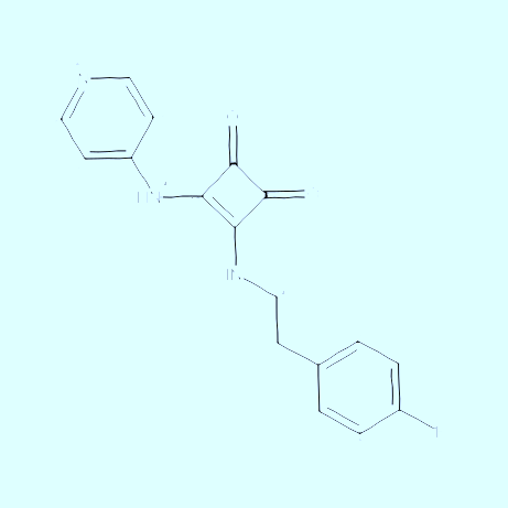 O=c1c(NCCc2ccc(F)cc2)c(Nc2ccncc2)c1=O